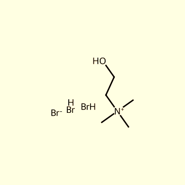 Br.Br.C[N+](C)(C)CCO.[Br-]